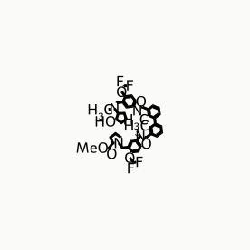 COC(=O)C1CCCN1Cc1cc2nc(-c3cccc(-c4cccc(-c5nc6cc(CN(C)C7CCCC7O)c(OC(F)F)cc6o5)c4C)c3C)oc2cc1OC(F)F